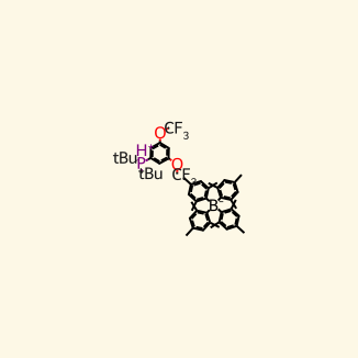 CC(C)(C)[PH+](c1cc(OC(F)(F)F)cc(OC(F)(F)F)c1)C(C)(C)C.Cc1cc(C)c([B-](c2c(C)cc(C)cc2C)(c2c(C)cc(C)cc2C)c2c(C)cc(C)cc2C)c(C)c1